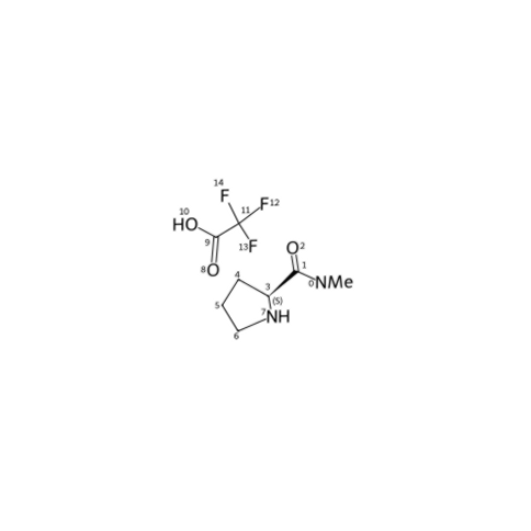 CNC(=O)[C@@H]1CCCN1.O=C(O)C(F)(F)F